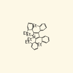 CCc1ccccc1C1=C(c2ccccc2CC)[Si](CC)(CC)C(c2ccccc2CC)=C1c1ccccc1CC